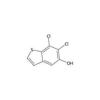 Oc1cc2ccsc2c(Cl)c1Cl